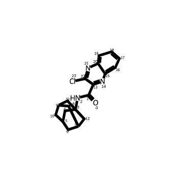 O=C(NC12CC3CC(CC(C3)C1)C2)c1nc2ccccc2nc1Cl